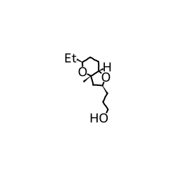 CC[C@H]1CC[C@@H]2O[C@@H](CCCO)C[C@]2(C)O1